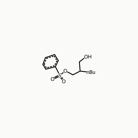 CCCCC(CO)COS(=O)(=O)c1ccccc1